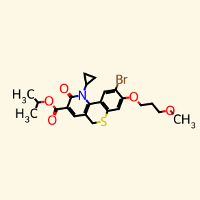 COCCCOc1cc2c(cc1Br)-c1c(cc(C(=O)OC(C)C)c(=O)n1C1CC1)CS2